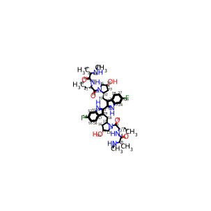 CC[C@H](NC(=O)[C@H](C)NC)C(=O)N1C[C@@H](O)CC1Cc1c(-c2[nH]c3cc(F)ccc3c2C[C@@H]2C[C@H](O)CN2C(=O)[C@H](CC)NC(=O)[C@H](C)NC)[nH]c2cc(F)ccc12